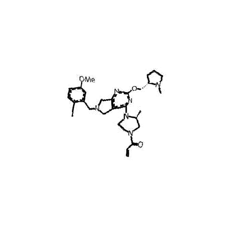 C=CC(=O)N1CCN(c2nc(OC[C@@H]3CCCN3C)nc3c2CN(Cc2cc(OC)ccc2C)C3)[C@@H](C)C1